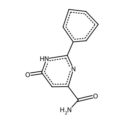 NC(=O)c1cc(=O)[nH]c(-c2ccccc2)n1